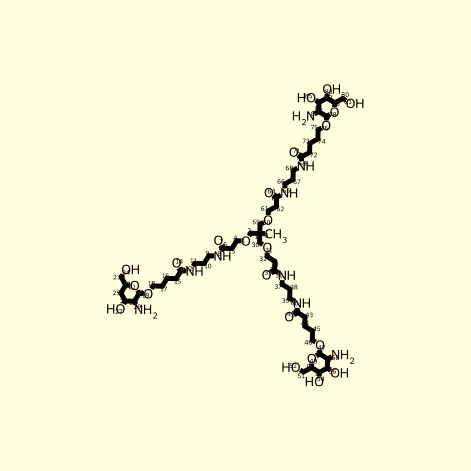 CC(COCCC(=O)NCCCNC(=O)CCCCOC1OC(CO)CC(O)C1N)(COCCC(=O)NCCCNC(=O)CCCCOC1OC(CO)C(O)C(O)C1N)COCCC(=O)NCCCNC(=O)CCCCOC1OC(CO)C(O)C(O)C1N